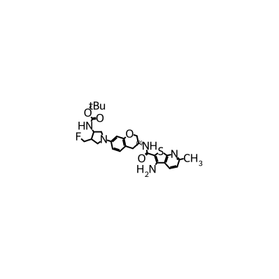 Cc1ccc2c(N)c(C(=O)N[C@H]3COc4cc(N5CC(CF)C(NC(=O)OC(C)(C)C)C5)ccc4C3)sc2n1